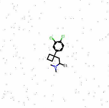 CCC(CC1(c2ccc(Cl)c(Cl)c2)CCC1)N(C)C